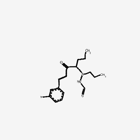 CCCC(C(=O)CCc1cccc(F)c1)N(CCC)NC=O